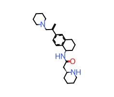 C=C(CN1CCCCC1)c1ccc2c(c1)CCC[C@H]2NC(=O)C[C@@H]1CCCCN1